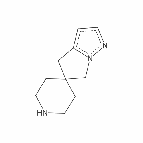 c1cc2n(n1)CC1(CCNCC1)C2